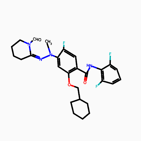 CN(/N=C1/CCCCN1C=O)c1cc(OCC2CCCCC2)c(C(=O)Nc2c(F)cccc2F)cc1F